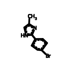 Cc1c[nH]c(-c2ccc(Br)cc2)n1